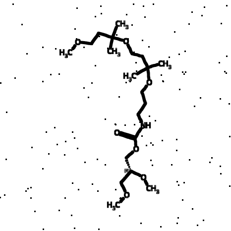 COCCC(C)(C)OCCC(C)(C)OCCCNC(=O)OC[C@@H](COC)OC